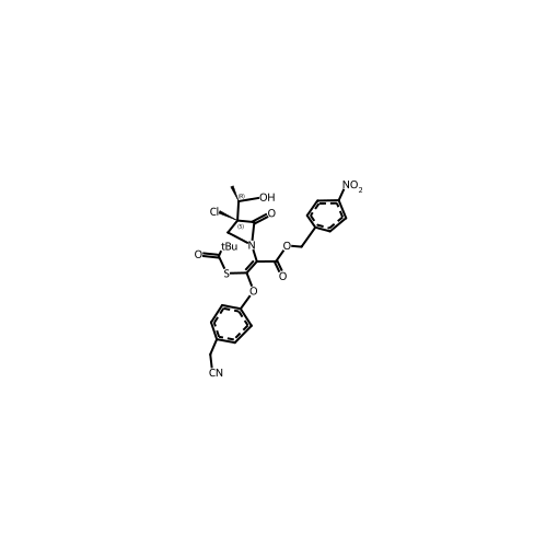 C[C@@H](O)[C@@]1(Cl)CN(C(C(=O)OCc2ccc([N+](=O)[O-])cc2)=C(Oc2ccc(CC#N)cc2)SC(=O)C(C)(C)C)C1=O